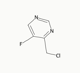 Fc1cncnc1CCl